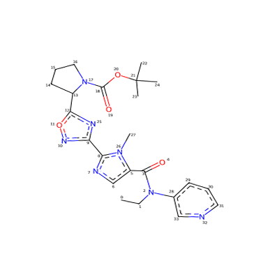 CCN(C(=O)c1cnc(-c2noc(C3CCCN3C(=O)OC(C)(C)C)n2)n1C)c1cccnc1